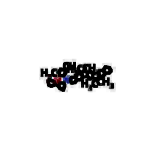 Cc1cc(C)cc(N(c2ccc3cc4c(cc3c2)C(C)(C)c2cc3c(cc2-4)C(C)(C)c2cc4ccccc4cc2-3)c2cccc3c2oc2ccccc23)c1